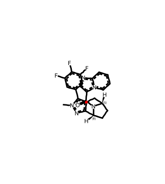 Cn1nc2c(c1-c1cc(F)c(F)c(F)c1)C[C@@H]1CC[C@H]2N1C(=O)c1cnc2ccccn12